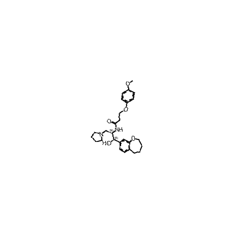 COc1ccc(OCCC(=O)N[C@H](CN2CCCC2)[C@H](O)c2ccc3c(c2)OCCCC3)cc1